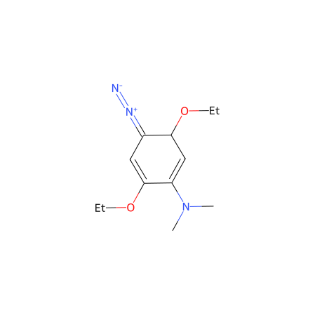 CCOC1=CC(=[N+]=[N-])C(OCC)C=C1N(C)C